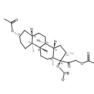 CC(=O)OCC(=O)[C@@]1(O[N+](=O)[O-])[C@@H](C)C[C@H]2[C@@H]3CC[C@H]4C[C@@H](OC(C)=O)CC[C@]4(C)[C@@]3(F)CC[C@@]21C